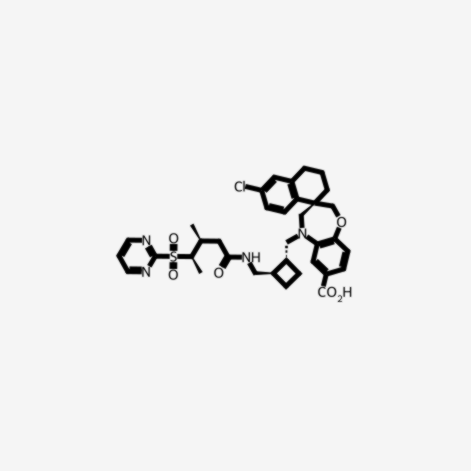 C[C@H]([C@@H](C)CC(=O)NC[C@@H]1CC[C@H]1CN1C[C@@]2(CCCc3cc(Cl)ccc32)COc2ccc(C(=O)O)cc21)S(=O)(=O)c1ncccn1